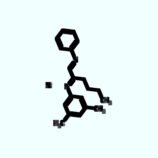 CCCCC(/C=N/c1ccccc1)=N\c1cc(C)cc(C)c1.[Ni]